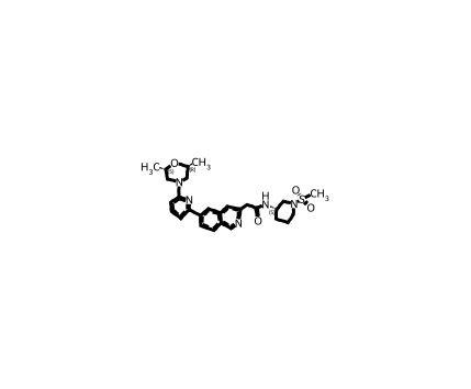 C[C@@H]1CN(c2cccc(-c3ccc4cnc(CC(=O)N[C@H]5CCCN(S(C)(=O)=O)C5)cc4c3)n2)C[C@H](C)O1